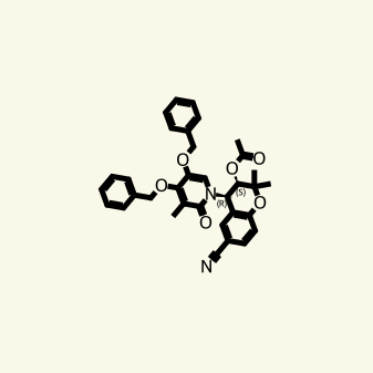 CC(=O)O[C@H]1[C@H](n2cc(OCc3ccccc3)c(OCc3ccccc3)c(C)c2=O)c2cc(C#N)ccc2OC1(C)C